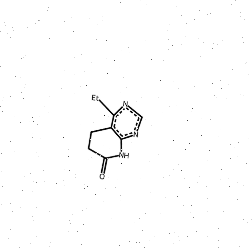 CCc1ncnc2c1CCC(=O)N2